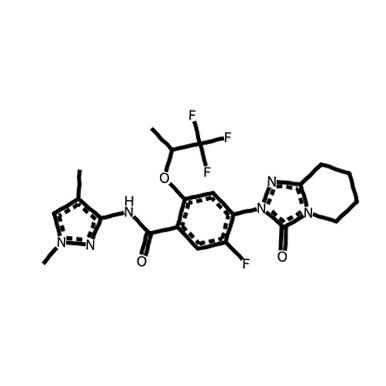 Cc1cn(C)nc1NC(=O)c1cc(F)c(-n2nc3n(c2=O)CCCC3)cc1OC(C)C(F)(F)F